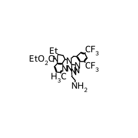 CCOC(=O)N1c2ccc(C)nc2C(N(Cc2cc(C(F)(F)F)cc(C(F)(F)F)c2)c2nnn(CCN)n2)CC1CC